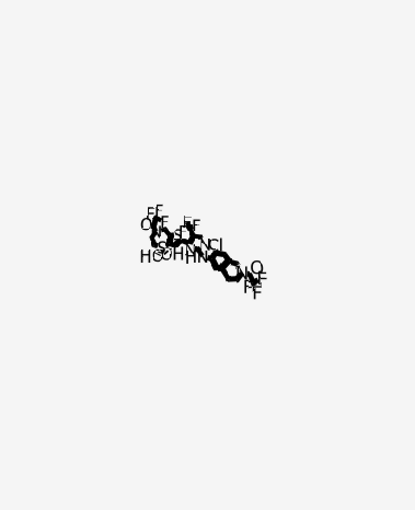 O=C(N1CCc2cc(Nc3ncc(C(F)(F)F)c(-c4cc5c(s4)CN(C(=O)C(F)(F)F)CCS5(O)O)n3)c(Cl)cc2C1)C(F)(F)F